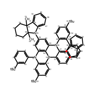 CC(C)(C)c1cccc(N2c3cc(C(C)(C)C)ccc3B3c4ccc5oc6ccccc6c5c4N(c4ccc(C(C)(C)C)cc4-c4ccccc4)c4cc(N5c6ccccc6C6(C)CCCCC56C)cc2c43)c1